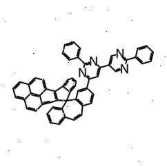 C1=Cc2ccc(-c3cc(-c4cnc(-c5ccccc5)nc4)nc(-c4ccccc4)n3)cc2C2(c3ccccc31)c1ccccc1-c1c2cc2ccc3cccc4ccc1c2c34